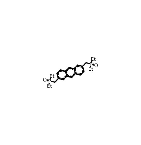 CCP(=O)(CC)Cc1ccc2cc3cc(CP(=O)(CC)CC)ccc3cc2c1